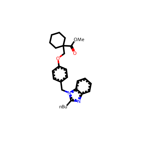 CCCCc1nc2ccccc2n1Cc1ccc(OCC2(C(=O)OC)CCCCC2)cc1